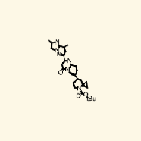 Cc1cn2nc(-c3cc(=O)n4cc(C5CCN(C(=O)OC(C)(C)C)C6(CC6)C5)ccc4n3)cc(C)c2n1